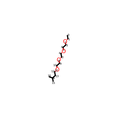 CCOCCOCCOCCOCCC(C)C